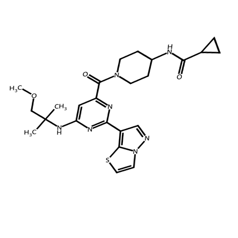 COCC(C)(C)Nc1cc(C(=O)N2CCC(NC(=O)C3CC3)CC2)nc(-c2cnn3ccsc23)n1